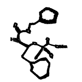 COC(=O)P(C)(=O)OC(CC1CCCCC1)NC(=O)OCc1ccccc1